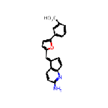 Nc1ccc2c(n1)C=C/C2=C\c1ccc(-c2cccc(C(=O)O)c2)o1